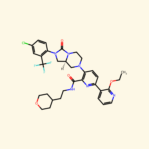 CCOc1ncccc1-c1ccc(N2CCN3C(=O)N(c4ccc(Cl)cc4C(F)(F)F)C[C@@H]3C2)c(C(=O)NCCC2CCOCC2)n1